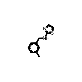 Cc1cccc(CNc2nccs2)c1